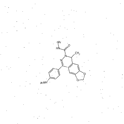 CCCNC(=O)N1N=C(c2ccc(NC(C)=O)cc2)c2cc3c(cc2C1C)OCO3